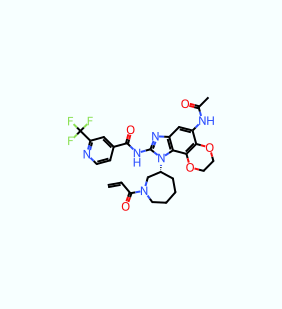 C=CC(=O)N1CCCC[C@@H](n2c(NC(=O)c3ccnc(C(F)(F)F)c3)nc3cc(NC(C)=O)c4c(c32)OCCO4)C1